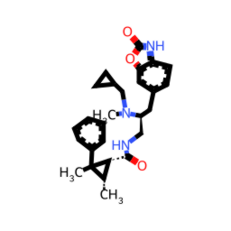 C[C@H]1[C@@H](C(=O)NC[C@H](Cc2ccc3[nH]c(=O)oc3c2)N(C)CC2CC2)C1(C)c1ccccc1